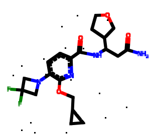 NC(=O)CC(NC(=O)c1ccc(N2CC(F)(F)C2)c(OCC2CC2)n1)C1CCOC1